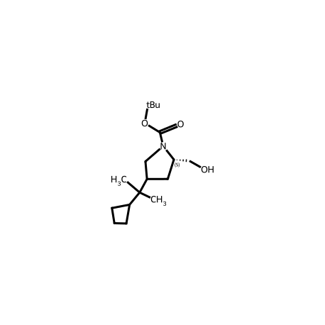 CC(C)(C)OC(=O)N1CC(C(C)(C)C2CCC2)C[C@H]1CO